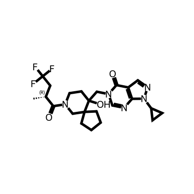 C[C@H](CC(F)(F)F)C(=O)N1CCC(O)(Cn2cnc3c(cnn3C3CC3)c2=O)C2(CCCC2)C1